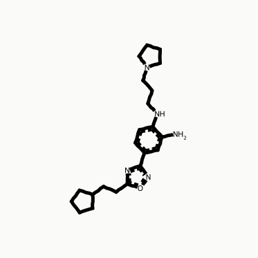 Nc1cc(-c2noc(CCC3CCCC3)n2)ccc1NCCCN1CCCC1